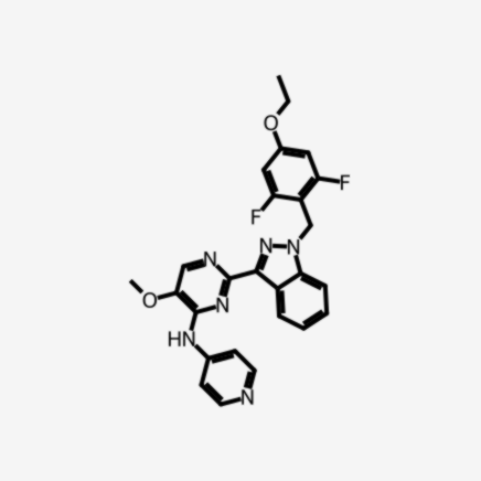 CCOc1cc(F)c(Cn2nc(-c3ncc(OC)c(Nc4ccncc4)n3)c3ccccc32)c(F)c1